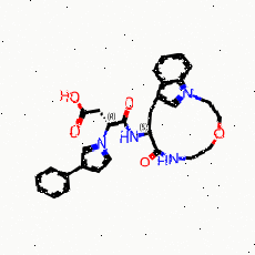 O=C(O)C[C@H](C(=O)N[C@H]1Cc2cn(c3ccccc23)CCOCCNC1=O)n1ccc(-c2ccccc2)c1